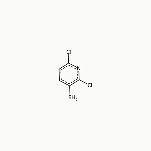 Bc1ccc(Cl)nc1Cl